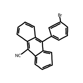 N#Cc1c2ccccc2c(-c2cccc(Br)c2)c2ccccc12